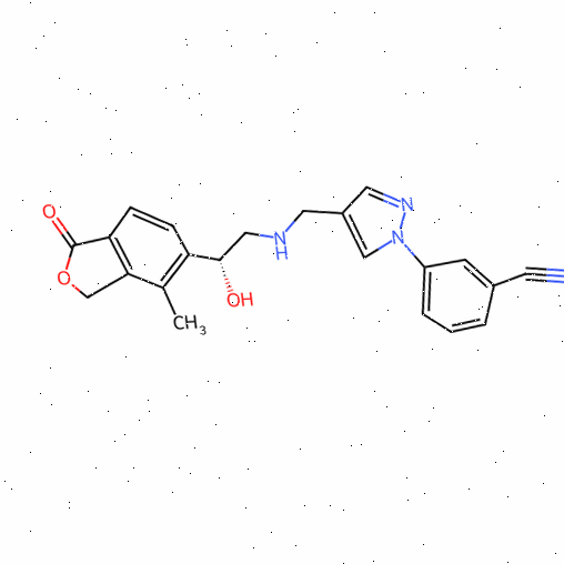 Cc1c([C@@H](O)CNCc2cnn(-c3cccc(C#N)c3)c2)ccc2c1COC2=O